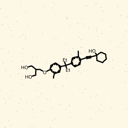 CCC(CC)(c1ccc(C#CC2(O)CCCCC2)c(C)c1)c1ccc(OCC(CO)CO)c(C)c1